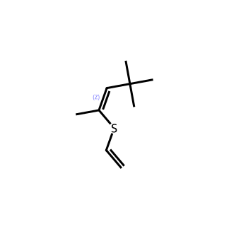 C=CS/C(C)=C\C(C)(C)C